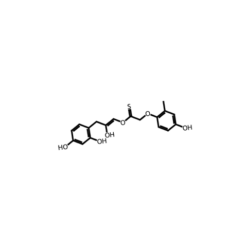 Cc1cc(O)ccc1OCC(=S)O/C=C(\O)Cc1ccc(O)cc1O